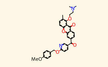 COc1ccc(COc2ccc(C(=O)c3ccc4c(=O)c5c(OCCN(C)C)c(C)ccc5oc4c3)cn2)cc1